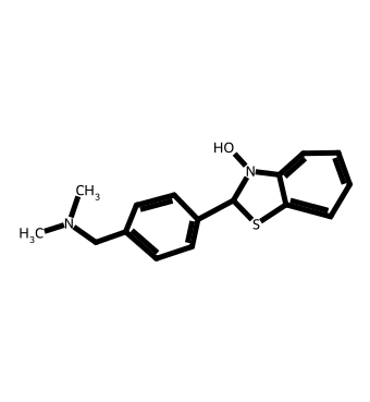 CN(C)Cc1ccc(C2Sc3ccccc3N2O)cc1